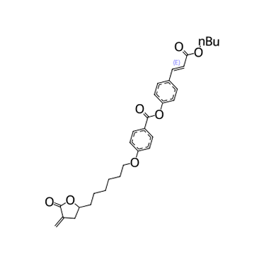 C=C1CC(CCCCCCOc2ccc(C(=O)Oc3ccc(/C=C/C(=O)OCCCC)cc3)cc2)OC1=O